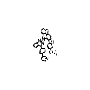 CC1C=Cc2c(oc3cc4ccc5cccc6c5c4c(c23)n6-c2nc(-c3ccc(-c4cccnc4)cc3)c3ccccc3n2)C1